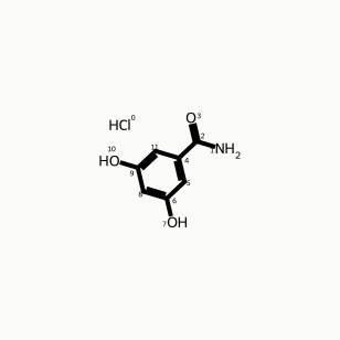 Cl.NC(=O)c1cc(O)cc(O)c1